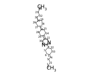 CCCCC[C@H]1CC[C@H](c2ncc([C@H]3CC[C@H]([C@H]4CC[C@H](CCCCC)CC4)CC3)cn2)CC1